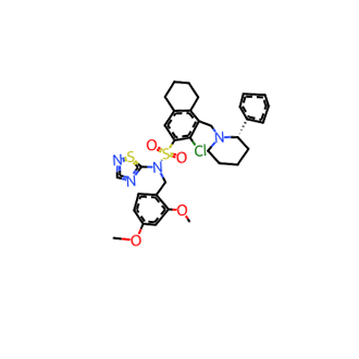 COc1ccc(CN(c2ncns2)S(=O)(=O)c2cc3c(c(CN4CCCC[C@H]4c4ccccc4)c2Cl)CCCC3)c(OC)c1